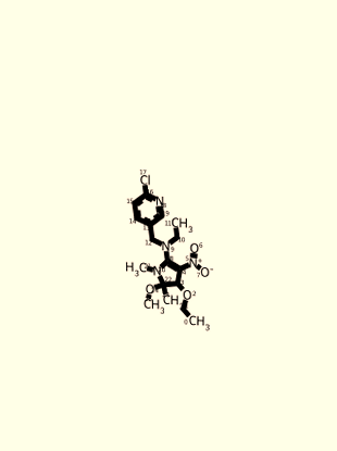 CCOC1C([N+](=O)[O-])=C(N(CC)Cc2ccc(Cl)nc2)N(C)C1(C)OC